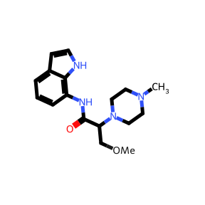 COCC(C(=O)Nc1cccc2cc[nH]c12)N1CCN(C)CC1